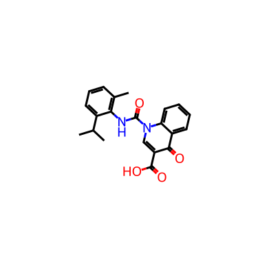 Cc1cccc(C(C)C)c1NC(=O)n1cc(C(=O)O)c(=O)c2ccccc21